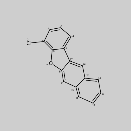 Clc1cccc2c1oc1cc3ccccc3cc12